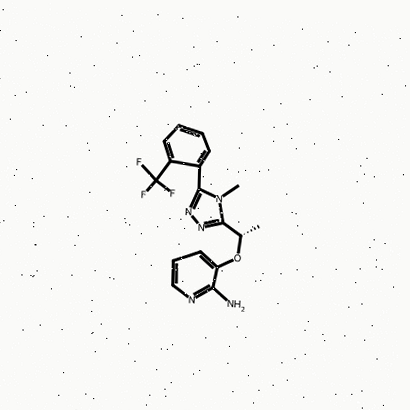 C[C@H](Oc1cccnc1N)c1nnc(-c2ccccc2C(F)(F)F)n1C